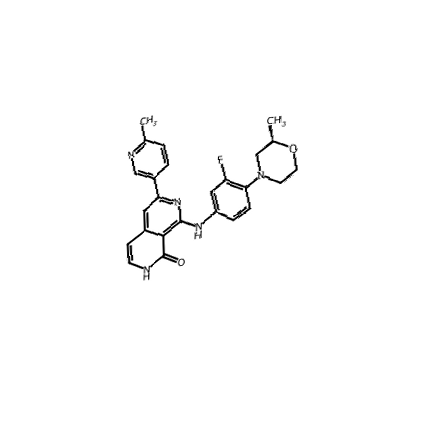 Cc1ccc(-c2cc3cc[nH]c(=O)c3c(Nc3ccc(N4CCO[C@H](C)C4)c(F)c3)n2)cn1